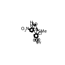 CSCCOC(=O)C(C)Nc1cc(Oc2ccc(S(=O)(=O)C(C)C)cc2Cl)ccc1[N+](=O)[O-]